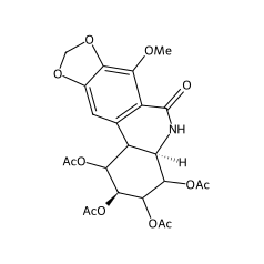 COc1c2c(cc3c1C(=O)N[C@H]1C(OC(C)=O)C(OC(C)=O)[C@@H](OC(C)=O)C(OC(C)=O)C31)OCO2